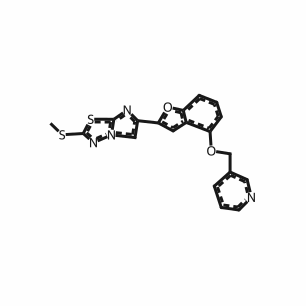 CSc1nn2cc(-c3cc4c(OCc5cccnc5)cccc4o3)nc2s1